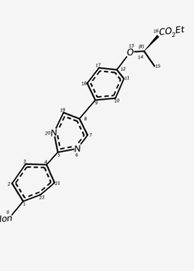 CCCCCCCCCc1ccc(-c2ncc(-c3ccc(O[C@H](C)C(=O)OCC)cc3)cn2)cc1